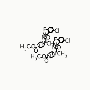 CCOC(=O)N1CCN(C(C)c2nnc(-c3cc(Cl)ccc3F)o2)CC1.CCOC(=O)N1CCN(C(C)c2nnc(-c3cc(Cl)ccc3F)o2)CC1